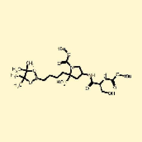 CC(C)(C)OC(=O)N[C@@H](CO)C(=O)NC1CN(C(=O)OC(C)(C)C)C(CCCCB2OC(C)(C)C(C)(C)O2)(C(=O)O)C1